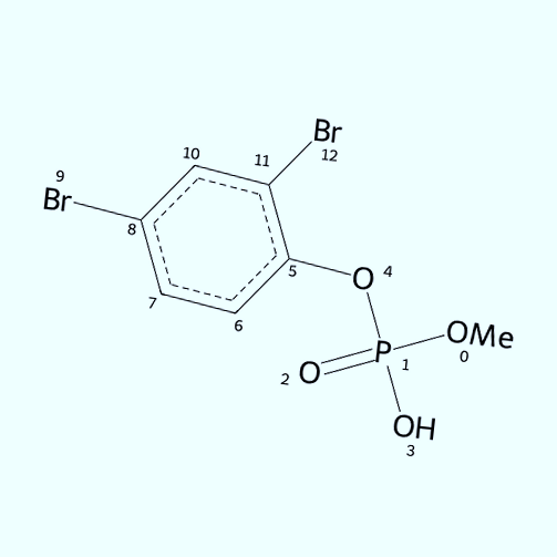 COP(=O)(O)Oc1ccc(Br)cc1Br